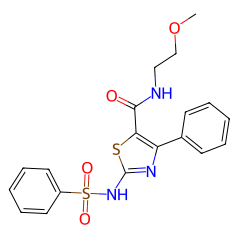 COCCNC(=O)c1sc(NS(=O)(=O)c2ccccc2)nc1-c1ccccc1